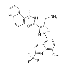 COc1ccc(-c2nc(C(=O)N[C@@H](C)c3cccc4ccccc34)c(CN)o2)c2ccc(C(F)(F)F)nc12